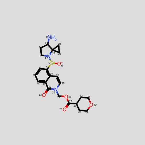 NC1CCN([S+]([O-])c2cccc3c(=O)n(COC(=O)C4CCOCC4)ccc23)C12CC2